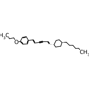 CCCCCC[C@H]1CC[C@H](/C=C/C#C/C=C/c2ccc(OCCC)cc2)CC1